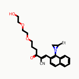 CCC1CN1c1c(/C=C(\C#N)C(=O)CCCOCCOCCO)ccc2ccccc12